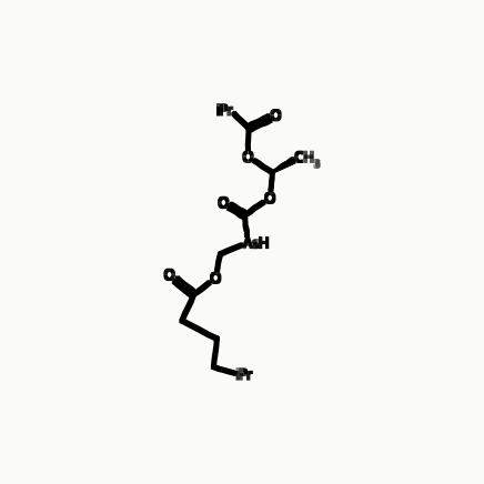 CC(C)CCCC(=O)OC[AsH]C(=O)O[C@H](C)OC(=O)C(C)C